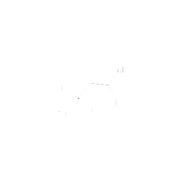 CCCC(I)CC(F)(F)C(F)(F)F